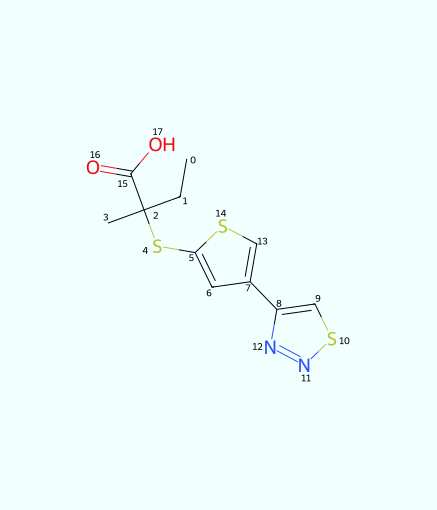 CCC(C)(Sc1cc(-c2csnn2)cs1)C(=O)O